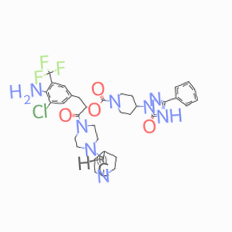 Nc1c(Cl)cc(CC(OC(=O)N2CCC(n3nc(-c4ccccc4)[nH]c3=O)CC2)C(=O)N2CCN([C@H]3CN4CCC3CC4)CC2)cc1C(F)(F)F